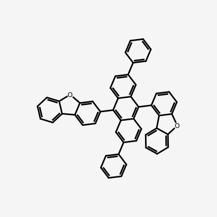 c1ccc(-c2ccc3c(-c4cccc5oc6ccccc6c45)c4cc(-c5ccccc5)ccc4c(-c4ccc5c(c4)oc4ccccc45)c3c2)cc1